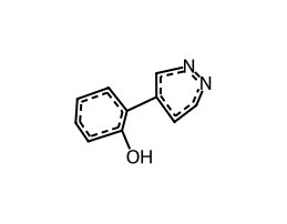 Oc1ccccc1-c1ccnnc1